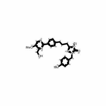 CCn1c(CCCc2ccc(-c3ncc(OC)c(CO)n3)cc2)nn(Cc2ccc(C(C)(C)C)cc2)c1=O